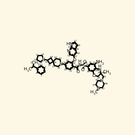 CC(C)c1ccccc1[C@@H]1CCCN1C1CC2(CCN(c3ccc(C(=O)NS(=O)(=O)c4cc(N)c5c(c4)OC[C@](C)(CN4CCN(C)CC4)N5)c(Oc4cnc5[nH]ccc5c4)c3)CC2)C1